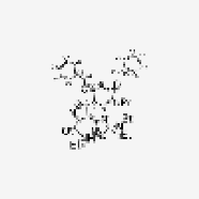 CCNC(=O)c1noc(-c2cc(C(C)C)c(OCc3ccccc3)cc2OCc2ccccc2)c1-c1noc(N(CC)CC)n1